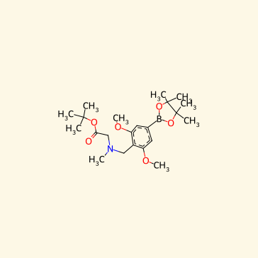 COc1cc(B2OC(C)(C)C(C)(C)O2)cc(OC)c1CN(C)CC(=O)OC(C)(C)C